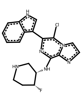 F[C@@H]1CCNC[C@@H]1Nc1nc(-c2c[nH]c3ccccc23)c(Cl)n2ccnc12